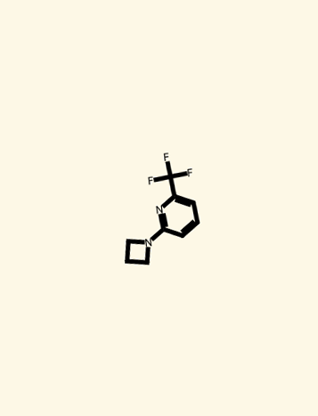 FC(F)(F)c1cccc(N2CCC2)n1